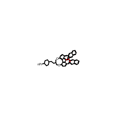 CCCC1CCC(CCC2COc3ccc4ccc(-c5ccc6ccccc6c5)cc4c3-c3c(ccc4ccc(-c5ccc6ccccc6c5)cc34)OC2)CC1